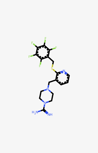 N=C(N)N1CCN(Cc2cccnc2SCc2c(F)c(F)c(F)c(F)c2F)CC1